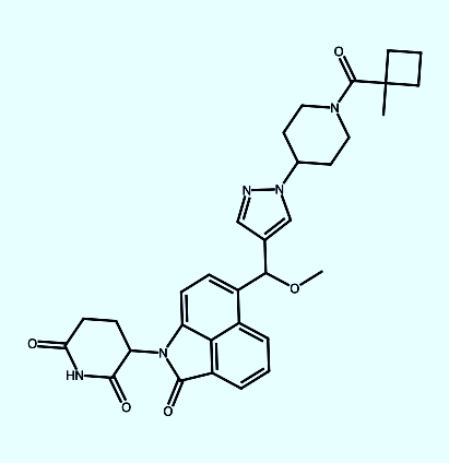 COC(c1cnn(C2CCN(C(=O)C3(C)CCC3)CC2)c1)c1ccc2c3c(cccc13)C(=O)N2C1CCC(=O)NC1=O